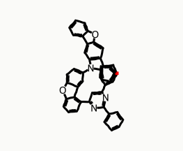 c1ccc(-c2cc(-c3cccc4oc5ccc(-n6c7ccccc7c7cc8oc9ccccc9c8cc76)cc5c34)nc(-c3ccccc3)n2)cc1